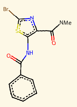 CNC(=O)c1nc(Br)sc1NC(=O)c1ccccc1